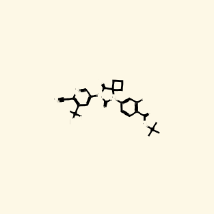 CC(C)(C)NC(=O)c1ccc(N2C(=S)N(c3cnc(C#N)c(C(F)(F)F)c3)C(=O)C23CCC3)cc1F